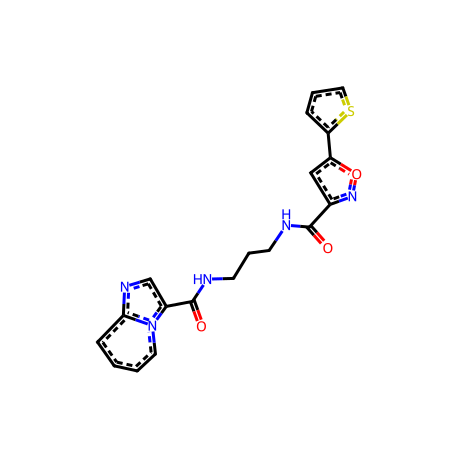 O=C(NCCCNC(=O)c1cnc2ccccn12)c1cc(-c2cccs2)on1